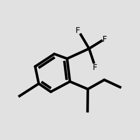 CCC(C)c1cc(C)ccc1C(F)(F)F